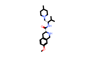 COc1ccc2c(c1)CN[C@@H](C(=O)N[C@H](CN1CCC(C)CC1)C(C)C)C2